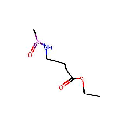 CCOC(=O)CCN[PH](C)=O